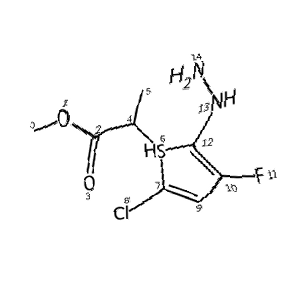 COC(=O)C(C)[SH]1C(Cl)=CC(F)=C1NN